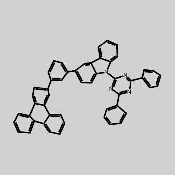 c1ccc(-c2nc(-c3ccccc3)nc(-n3c4ccccc4c4cc(-c5cccc(-c6ccc7c8ccccc8c8ccccc8c7c6)c5)ccc43)n2)cc1